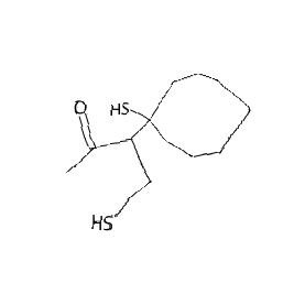 CC(=O)C(CS)C1(S)CCCCC1